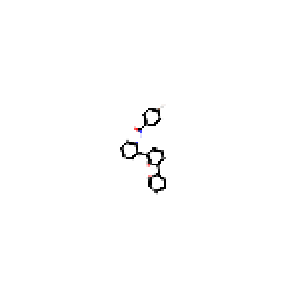 O=C(Nc1ccccc1-c1cccc2c1oc1ccccc12)c1ccc(Br)cc1